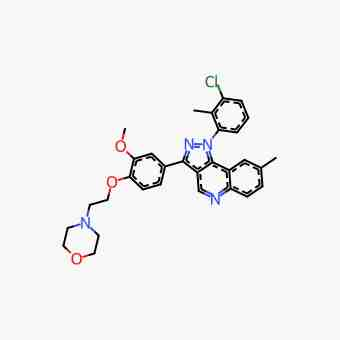 COc1cc(-c2nn(-c3cccc(Cl)c3C)c3c2cnc2ccc(C)cc23)ccc1OCCN1CCOCC1